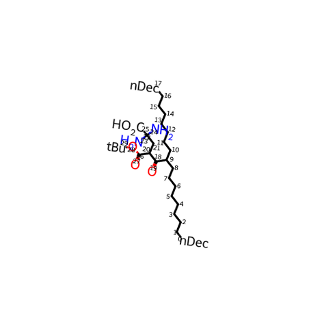 CCCCCCCCCCCCCCCCCCC(CCCCCCCCCCCCCCCCC)C(=O)C(CC(N)(N)C(=O)O)C(=O)OC(C)(C)C